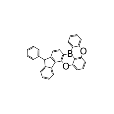 c1ccc(C2c3ccccc3-c3c2ccc2c3Oc3cccc4c3B2c2ccccc2O4)cc1